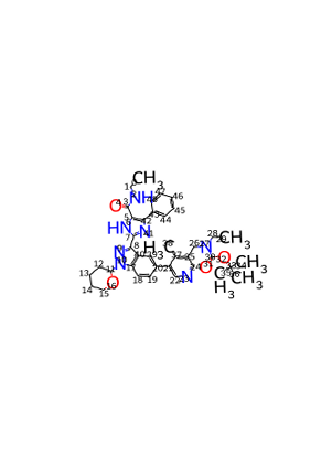 CCNC(=O)c1[nH]c(-c2nn(C3CCCCO3)c3ccc(-c4cncc(CN(CC)C(=O)OC(C)(C)C)c4C)cc23)nc1-c1ccccc1